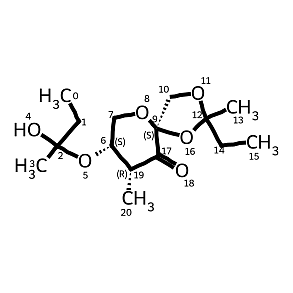 CCC(C)(O)O[C@@H]1CO[C@]2(COC(C)(CC)O2)C(=O)[C@@H]1C